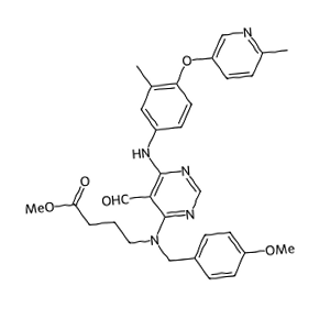 COC(=O)CCCN(Cc1ccc(OC)cc1)c1ncnc(Nc2ccc(Oc3ccc(C)nc3)c(C)c2)c1C=O